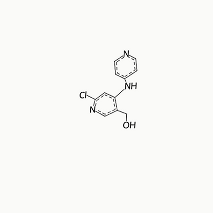 OCc1cnc(Cl)cc1Nc1ccncc1